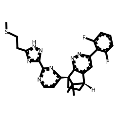 CSCCc1nc(-c2nccc([C@@]34CC[C@@H](c5cc(-c6c(F)cccc6F)nnc53)C4(C)C)n2)n[nH]1